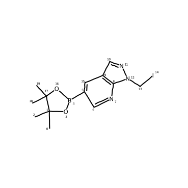 CC1(C)OB(c2cnc3c(cnn3CI)c2)OC1(C)C